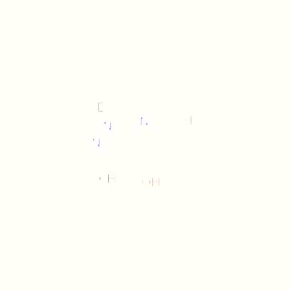 CCn1nc(C)c2c(O)cc(C)nc21